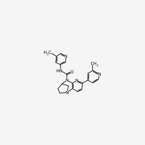 Cc1cncc(NC(=O)N2c3nc(-c4ccnc(C)c4)ccc3N3CCC2C3)c1